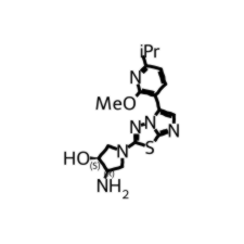 COc1nc(C(C)C)ccc1-c1cnc2sc(N3C[C@@H](N)[C@@H](O)C3)nn12